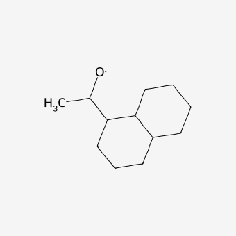 CC([O])C1CCCC2CCCCC21